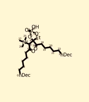 CCCCCCCCCCCCCCCC(=O)C(C(CC)(OP(=O)([O-])O)C(=O)CCCCCCCCCCCCCCC)[N+](C)(C)C